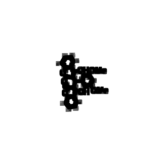 COc1cc(OC)cc(C(c2c(O)c3ccccc3oc2=O)c2c(O)c3ccccc3oc2=O)c1